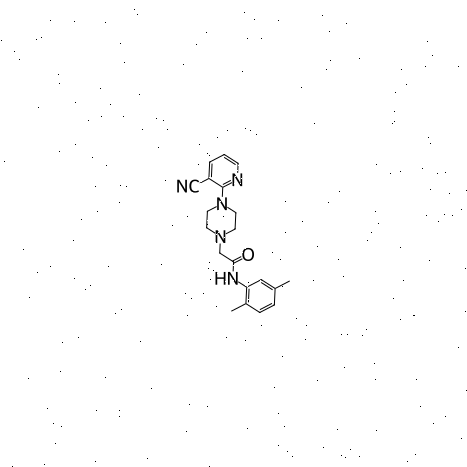 Cc1ccc(C)c(NC(=O)CN2CCN(c3ncccc3C#N)CC2)c1